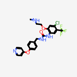 CNCCOc1cc(Cl)c(C(F)(F)F)cc1NC(=O)NCc1ccc(Oc2ccncc2)cc1